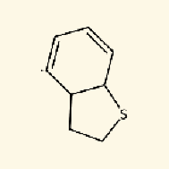 [C]1=CC=CC2SCCC12